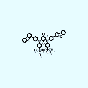 Cc1cc2c3c(c1)N(c1ccc(-c4cccc5c4oc4ccccc45)cc1)c1ccc(C(C)(C)C)cc1B3c1cc(C(C)(C)C)ccc1N2c1ccc(-c2ccc3c(c2)oc2ccccc23)cc1